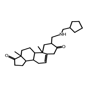 CC12CCC3C(CC=C4CC(=O)C(CNCC5CCCC5)CC43C)C1CCC2=O